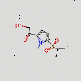 CC(C)S(=O)(=O)c1ccc(C(=O)CO)n1C